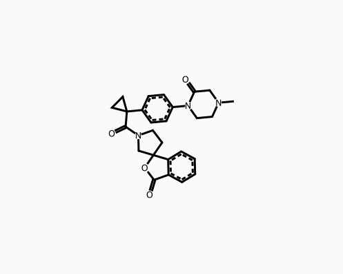 CN1CCN(c2ccc(C3(C(=O)N4CCC5(C4)OC(=O)c4ccccc45)CC3)cc2)C(=O)C1